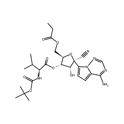 CCC(=O)OC[C@H]1O[C@@](C#N)(c2ccc3c(N)ncnn23)[C@H](O)[C@@H]1OC(=O)[C@@H](NC(=O)OC(C)(C)C)C(C)C